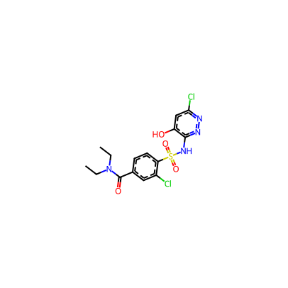 CCN(CC)C(=O)c1ccc(S(=O)(=O)Nc2nnc(Cl)cc2O)c(Cl)c1